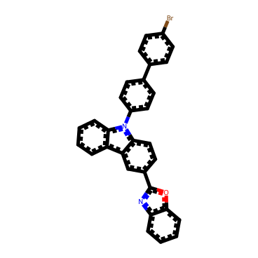 Brc1ccc(-c2ccc(-n3c4ccccc4c4cc(-c5nc6ccccc6o5)ccc43)cc2)cc1